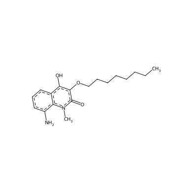 CCCCCCCCOc1c(O)c2cccc(N)c2n(C)c1=O